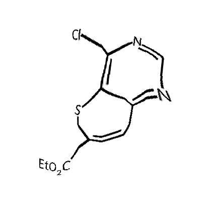 CCOC(=O)c1cc2ncnc(Cl)c2s1